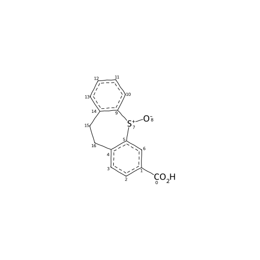 O=C(O)c1ccc2c(c1)[S+]([O-])c1ccccc1CC2